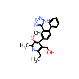 CCc1nc(C)c(OC)c(-c2ccc(-c3ccccc3)c(-c3nnn[nH]3)c2)c1CO